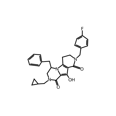 O=C1c2c(O)c3n(c2CCN1Cc1ccc(F)cc1)C(Cc1ccccc1)CN(CC1CC1)C3=O